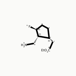 CCOC(=O)C[C@H]1CC[C@H](F)[C@H]1CN